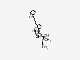 CC#CC[C@H](C)[C@H](O)/C=C/[C@@H]1[C@H]2c3cccc(CCCCNc4ccccn4)c3O[C@H]2C[C@H]1O